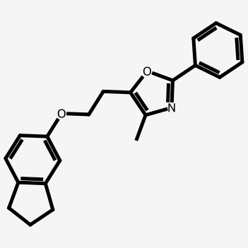 Cc1nc(-c2ccccc2)oc1CCOc1ccc2c(c1)CCC2